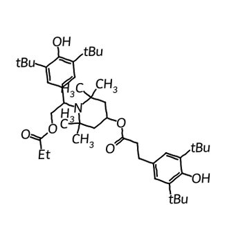 CCC(=O)OCC(c1cc(C(C)(C)C)c(O)c(C(C)(C)C)c1)N1C(C)(C)CC(OC(=O)CCc2cc(C(C)(C)C)c(O)c(C(C)(C)C)c2)CC1(C)C